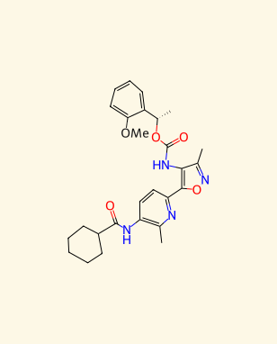 COc1ccccc1[C@H](C)OC(=O)Nc1c(C)noc1-c1ccc(NC(=O)C2CCCCC2)c(C)n1